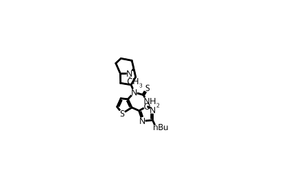 CCCCc1noc(-c2sccc2N(C(N)=S)C2CC3CCCC(C2)N3C)n1